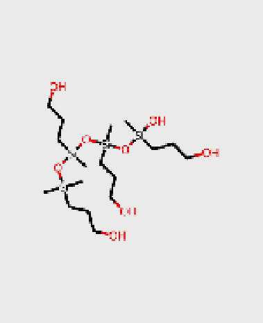 C[Si](C)(CCCO)O[Si](C)(CCCO)O[Si](C)(CCCO)O[Si](C)(O)CCCO